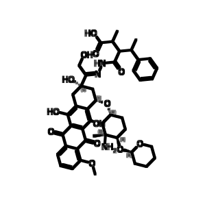 COc1cccc2c1C(=O)c1c(O)c3c(c(O)c1C2=O)C[C@@](O)(C(CO)=NNC(=O)C(C(C)C(=O)O)C(C)c1ccccc1)C[C@@H]3O[C@@H]1CC[C@@H](O[C@@H]2CCCCO2)[C@](C)(N)C1